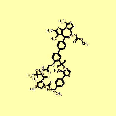 COC(=O)C[C@@H]1N=C(c2ccc(-c3ccc(OCC(=O)N[C@H](C(=O)N4C[C@H](O)C[C@H]4C(=O)N[C@@H](C)c4ccc(-c5scnc5C)cc4)C(C)(C)C)c(C(F)(F)F)c3)cc2)c2c(sc(C)c2C)-n2c(C)nnc21